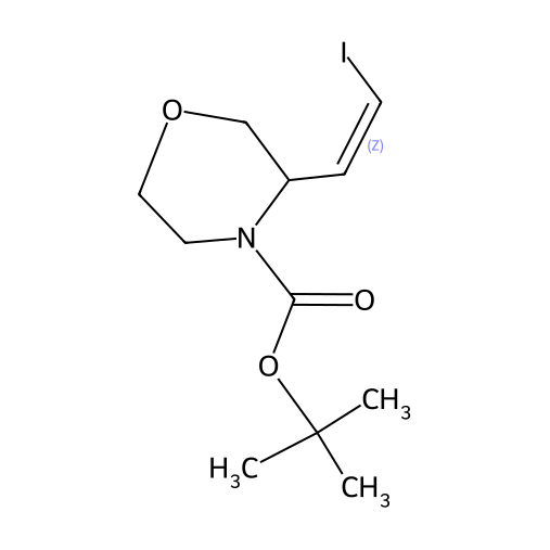 CC(C)(C)OC(=O)N1CCOCC1/C=C\I